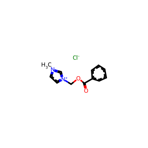 Cn1cc[n+](COC(=O)c2ccccc2)c1.[Cl-]